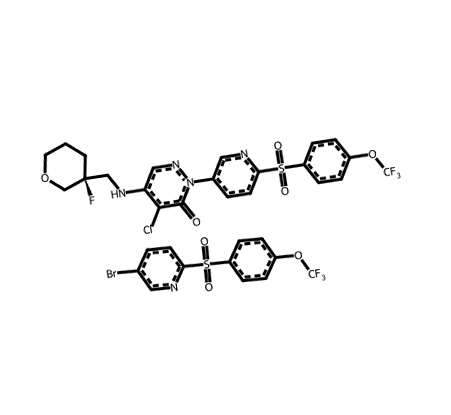 O=S(=O)(c1ccc(OC(F)(F)F)cc1)c1ccc(Br)cn1.O=c1c(Cl)c(NC[C@@]2(F)CCCOC2)cnn1-c1ccc(S(=O)(=O)c2ccc(OC(F)(F)F)cc2)nc1